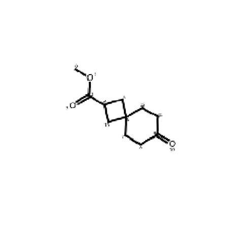 COC(=O)C1CC2(CCC(=O)CC2)C1